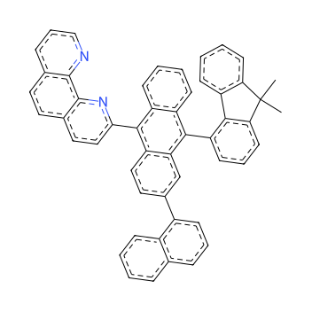 CC1(C)c2ccccc2-c2c(-c3c4ccccc4c(-c4ccc5ccc6cccnc6c5n4)c4ccc(-c5cccc6ccccc56)cc34)cccc21